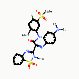 CCN(CC)c1ccc(/N=C(\C(=O)Nc2cc(S(=O)(=O)NC)c(Cl)cc2OC)C2=Nc3ccccc3S(=O)(=O)N2C(C)(C)C)cc1